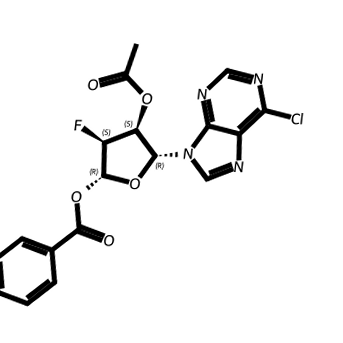 CC(=O)O[C@@H]1[C@H](F)[C@@H](OC(=O)c2ccccc2)O[C@H]1n1cnc2c(Cl)ncnc21